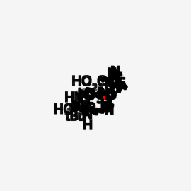 Cc1ncsc1-c1ccc([C@H](C)NC(=O)[C@@H]2C[C@@H](O)CN2C(=O)[C@@H](NC(=O)CCCn2cc(-c3ccc(C4=N[C@@H](CC(=O)O)c5nnc(C)n5-c5sc(C)c(C)c54)cc3)cn2)C(C)(C)C)cc1